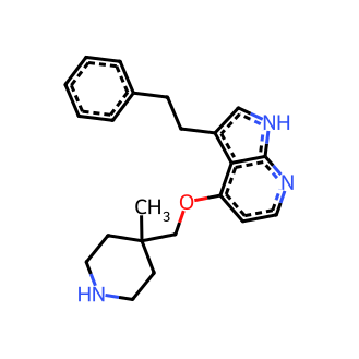 CC1(COc2ccnc3[nH]cc(CCc4ccccc4)c23)CCNCC1